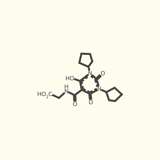 O=C(O)CNC(=O)c1c(O)n(C2CCCC2)c(=O)n(C2CCCC2)c1=O